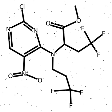 COC(=O)C(CC(F)(F)F)N(CCC(F)(F)F)c1nc(Cl)ncc1[N+](=O)[O-]